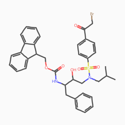 CC(C)CN(CC(O)C(Cc1ccccc1)NC(=O)OCC1c2ccccc2-c2ccccc21)S(=O)(=O)c1ccc(C(=O)CBr)cc1